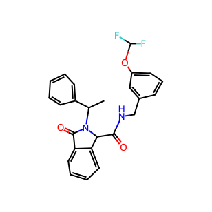 CC(c1ccccc1)N1C(=O)c2ccccc2C1C(=O)NCc1cccc(OC(F)F)c1